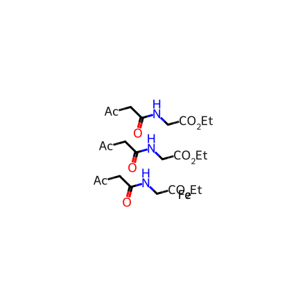 CCOC(=O)CNC(=O)CC(C)=O.CCOC(=O)CNC(=O)CC(C)=O.CCOC(=O)CNC(=O)CC(C)=O.[Fe]